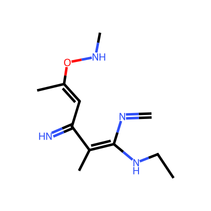 C=N/C(NCC)=C(/C)C(=N)/C=C(\C)ONC